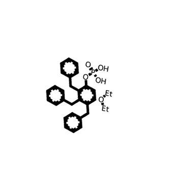 CCOCC.O=P(O)(O)Oc1ccc(Cc2ccccc2)c(Cc2ccccc2)c1Cc1ccccc1